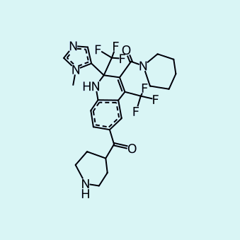 Cn1cncc1C1(C(F)(F)F)Nc2ccc(C(=O)C3CCNCC3)cc2C(C(F)(F)F)=C1C(=O)N1CCCCC1